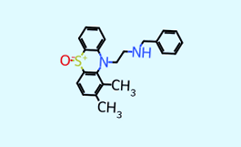 Cc1ccc2c(c1C)N(CCNCc1ccccc1)c1ccccc1[S+]2[O-]